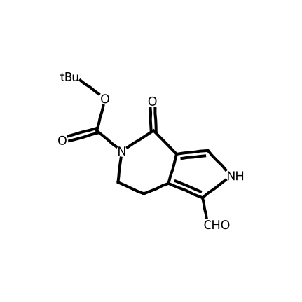 CC(C)(C)OC(=O)N1CCc2c(c[nH]c2C=O)C1=O